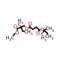 CCOC(=O)C(C)(CC)COC(=O)CCC(=O)OC(C)(C)CC